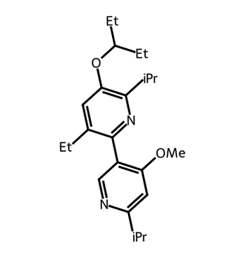 CCc1cc(OC(CC)CC)c(C(C)C)nc1-c1cnc(C(C)C)cc1OC